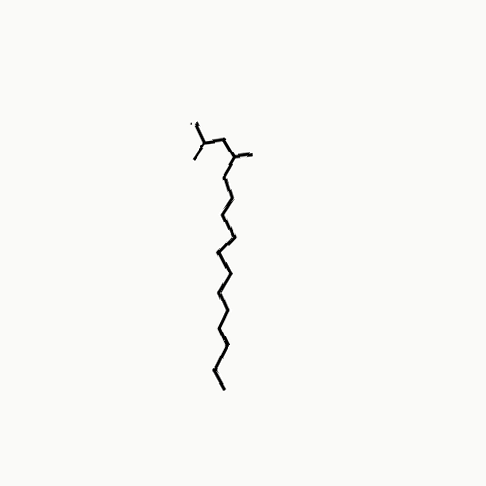 [CH2]C(C)CC(C)CCCCCCCCCCCC